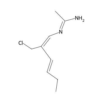 CC/C=C/C(=C\N=C(/C)N)CCl